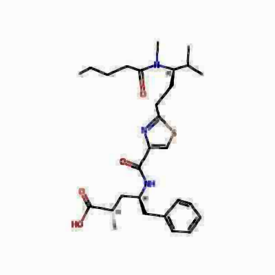 CCCCC(=O)N(C)[C@H](CCc1nc(C(=O)N[C@@H](Cc2ccccc2)C[C@H](C)C(=O)O)cs1)C(C)C